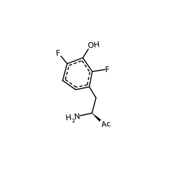 CC(=O)[C@@H](N)Cc1ccc(F)c(O)c1F